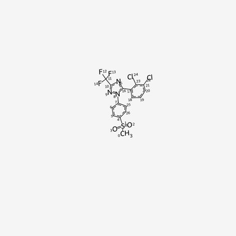 CS(=O)(=O)c1ccc(-n2nc(C(F)(F)F)nc2-c2cccc(Cl)c2Cl)cc1